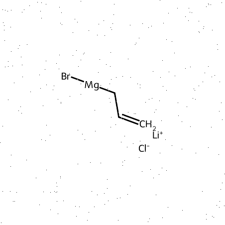 C=C[CH2][Mg][Br].[Cl-].[Li+]